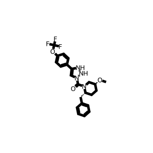 CO[C@@H]1CC[C@H](Cc2ccccc2)N(C(=O)N2C=C(c3ccc(OC(F)(F)F)cc3)NN2)C1